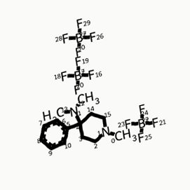 CN1CCC(c2ccccc2)(N(C)C)CC1.F[B-](F)(F)F.F[B-](F)(F)F.F[B-](F)(F)F